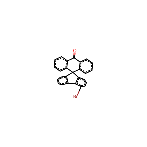 O=C1c2ccccc2C2(c3ccccc31)c1ccccc1-c1c(Br)cccc12